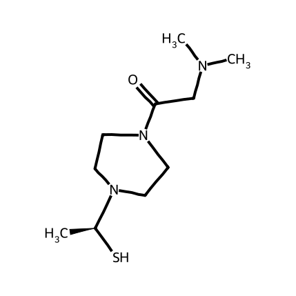 C[C@H](S)N1CCN(C(=O)CN(C)C)CC1